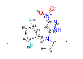 O=[N+]([O-])c1cc(N2CCC[C@@H]2c2cc(F)ccc2F)[nH]n1